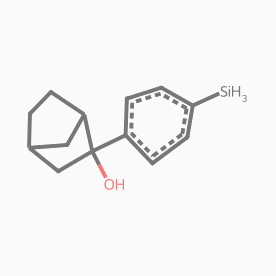 OC1(c2ccc([SiH3])cc2)CC2CCC1C2